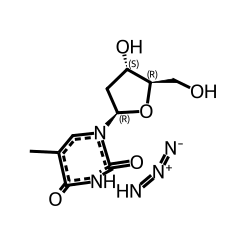 Cc1cn([C@H]2C[C@H](O)[C@@H](CO)O2)c(=O)[nH]c1=O.[N-]=[N+]=N